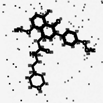 CCCOc1ccc(F)c2c(=O)c(-c3ccc(OOC(C)=O)cc3)cn(CC(=O)NCCN3CCOCC3)c12